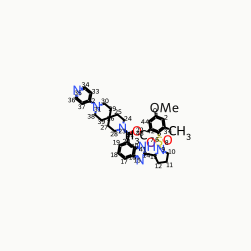 COc1cc(C)c(S(=O)(=O)N2CCCC2c2nc3cccc(C(=O)N4CCC5(CC4)CCN(c4ccncc4)CC5)c3[nH]2)c(C)c1